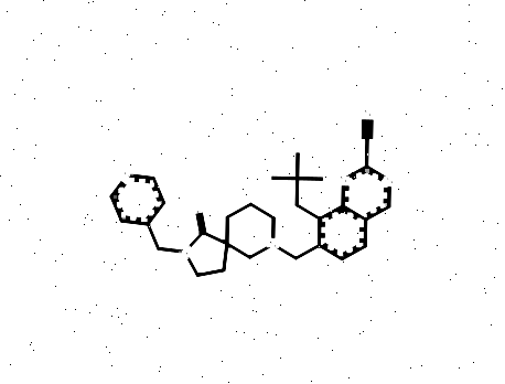 CC(C)(C)Cc1c(CN2CCCC3(CCN(Cc4ccncc4)C3=O)C2)ccc2cnc(C#N)nc12